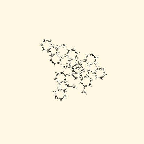 Cc1ccc(C2(c3ccc(C)cc3)c3ccccc3-c3cccc(-c4c5cccc(-c6cccc7c8ccccc8n(C)c67)c5cc5c(-c6cccc7c8ccccc8n(C)c67)cccc45)c32)cc1